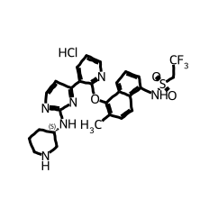 Cc1ccc2c(NS(=O)(=O)CC(F)(F)F)cccc2c1Oc1ncccc1-c1ccnc(N[C@H]2CCCNC2)n1.Cl